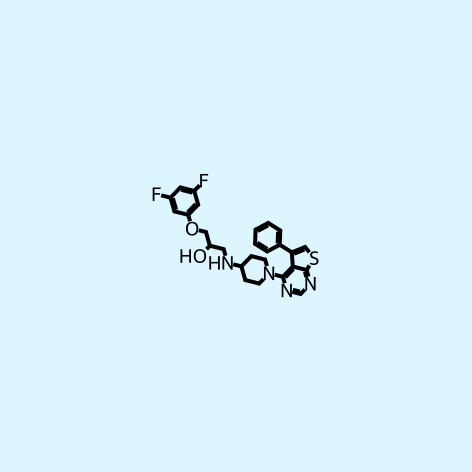 OC(CNC1CCN(c2ncnc3scc(-c4ccccc4)c23)CC1)COc1cc(F)cc(F)c1